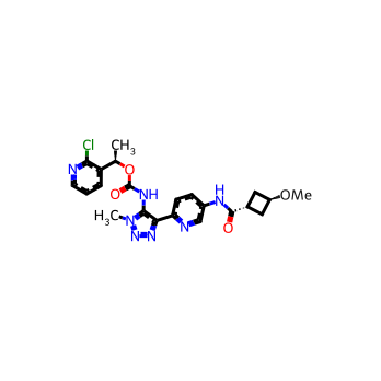 CO[C@H]1C[C@H](C(=O)Nc2ccc(-c3nnn(C)c3NC(=O)O[C@H](C)c3cccnc3Cl)nc2)C1